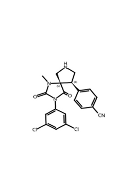 CN1C(=O)N(c2cc(Cl)cc(Cl)c2)C(=O)[C@]12CNC[C@H]2c1ccc(C#N)cc1